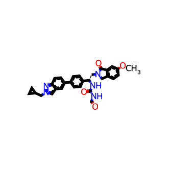 COc1ccc2c(c1)C(=O)N(C[C@H](NC(=O)NC=O)c1ccc(-c3ccc4nn(CC5CC5)cc4c3)cc1)C2